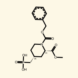 COC(=O)[C@@H]1C[C@H](CP(=O)(O)O)CCN1C(=O)OCc1ccccc1